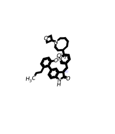 CCCc1cccc(OC)c1-c1ccc2c(c1)/C(=C\c1ccc(C3CCCCN(C4COC4)CC3)nc1)C(=O)N2